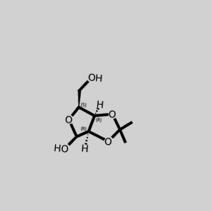 CC1(C)O[C@@H]2[C@H](CO)OC(O)[C@@H]2O1